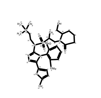 COc1cccc(OC)c1-n1c(-c2ccc(C)o2)nnc1N(CC[Si](C)(C)C)S(=O)(=O)C(C)CN1C(=O)CCCC1CO